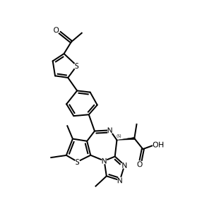 CC(=O)c1ccc(-c2ccc(C3=N[C@@H](C(C)C(=O)O)c4nnc(C)n4-c4sc(C)c(C)c43)cc2)s1